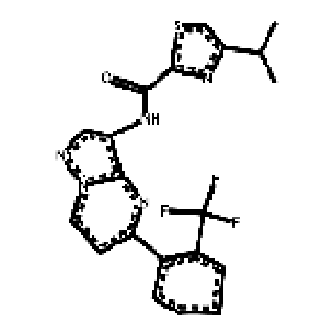 CC(C)c1csc(C(=O)Nc2cnn3ccc(-c4ccccc4C(F)(F)F)nc23)n1